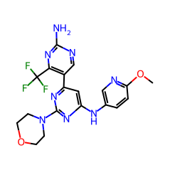 COc1ccc(Nc2cc(-c3cnc(N)nc3C(F)(F)F)nc(N3CCOCC3)n2)cn1